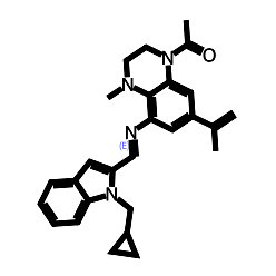 C=C(C)c1cc(/N=C/c2cc3ccccc3n2CC2CC2)c2c(c1)N(C(C)=O)CCN2C